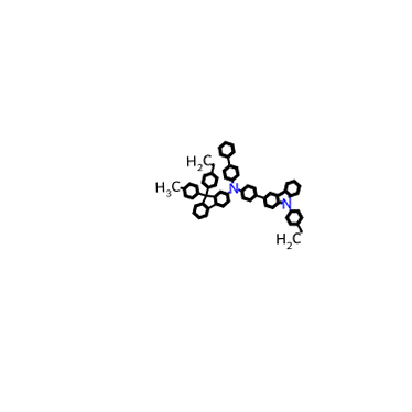 C=Cc1ccc(-n2c3ccccc3c3cc(-c4ccc(N(c5ccc(-c6ccccc6)cc5)c5ccc6c(c5)C(c5ccc(C)cc5)(c5ccc(C=C)cc5)c5ccccc5-6)cc4)ccc32)cc1